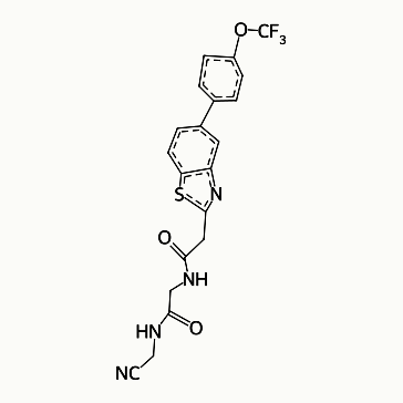 N#CCNC(=O)CNC(=O)Cc1nc2cc(-c3ccc(OC(F)(F)F)cc3)ccc2s1